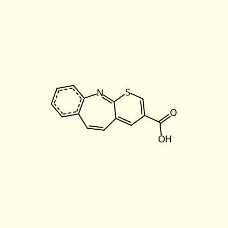 O=C(O)C1=CSC2=Nc3ccccc3C=CC2=C1